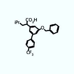 CC(C)CC(C(=O)O)c1cc(OCc2ccccc2)cc(-c2ccc(C(F)(F)F)cc2)c1